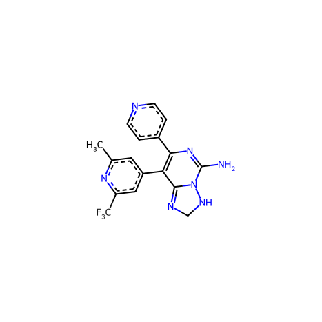 Cc1cc(C2=C(c3ccncc3)N=C(N)N3NCN=C23)cc(C(F)(F)F)n1